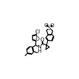 Cc1ccc(C(NC(=O)C2(c3ccc4c(c3)CS(=O)(=O)C4)CC2)c2ccc(Cl)o2)c(C)c1